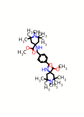 COC(=O)C1(NCc2ccc(CNC3(C(=O)OC)CC(C)(C)N(C)C(C)(C)C3)cc2)CC(C)(C)N(C)C(C)(C)C1